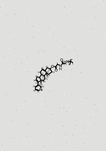 CC(C)(C)NCC(=O)NCC(=O)OC1CCC2(C)C(=CCC3C2CCC2(C)C(c4cccnc4)=CCC32)C1